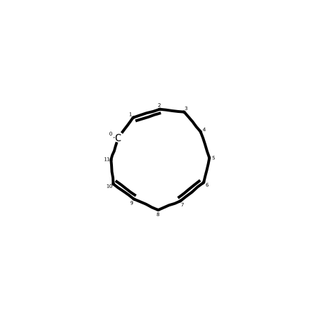 [CH]1C=CCCCC=CCC=CC1